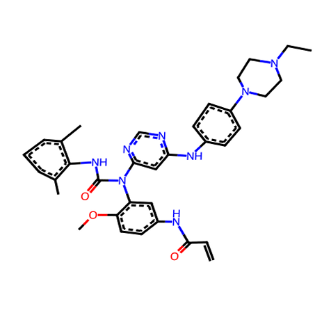 C=CC(=O)Nc1ccc(OC)c(N(C(=O)Nc2c(C)cccc2C)c2cc(Nc3ccc(N4CCN(CC)CC4)cc3)ncn2)c1